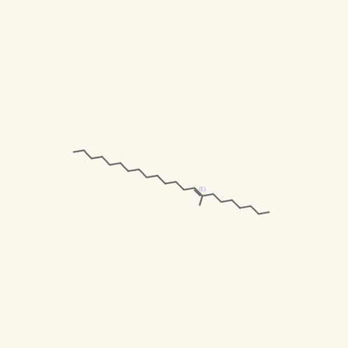 CCCCCCCCCCCCC/C=C(\C)CCCCCCC